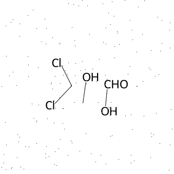 CO.ClCCl.O=CO